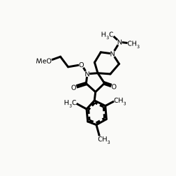 COCCON1C(=O)C(c2c(C)cc(C)cc2C)C(=O)C12CCN(N(C)C)CC2